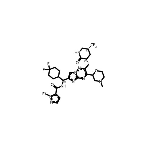 CCn1nccc1C(=O)N[C@H](c1cn2nc(C[C@H]3C[C@@H](C(F)(F)F)CNC3=O)c(C3CN(C)CCO3)nc2n1)C1CCC(F)(F)CC1